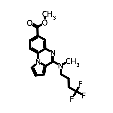 COC(=O)c1ccc2c(c1)nc(N(C)CCCC(F)(F)F)c1cccn12